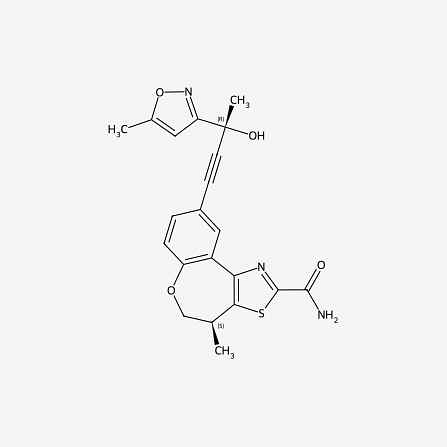 Cc1cc([C@](C)(O)C#Cc2ccc3c(c2)-c2nc(C(N)=O)sc2[C@@H](C)CO3)no1